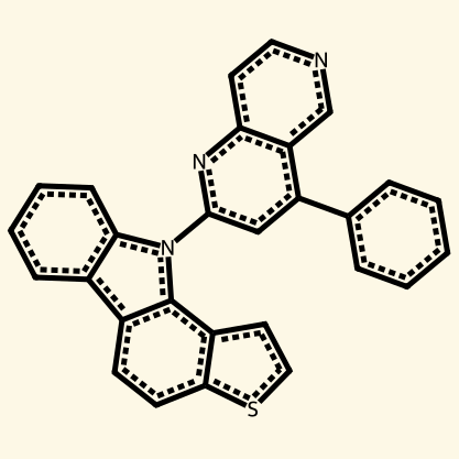 c1ccc(-c2cc(-n3c4ccccc4c4ccc5sccc5c43)nc3ccncc23)cc1